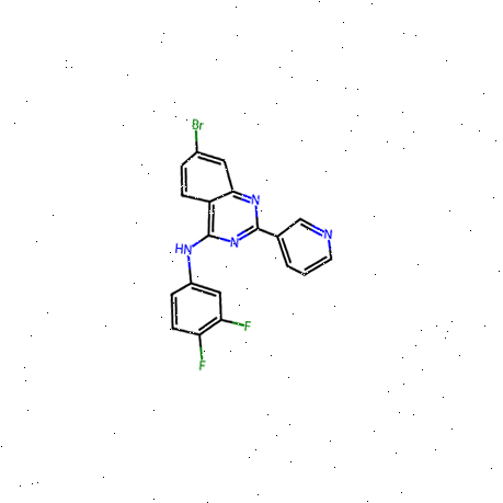 Fc1ccc(Nc2nc(-c3cccnc3)nc3cc(Br)ccc23)cc1F